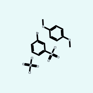 COc1ccc(OC)cc1.O=S(=O)(Cl)Cl.O=S(=O)(Cl)c1cccc(Br)c1